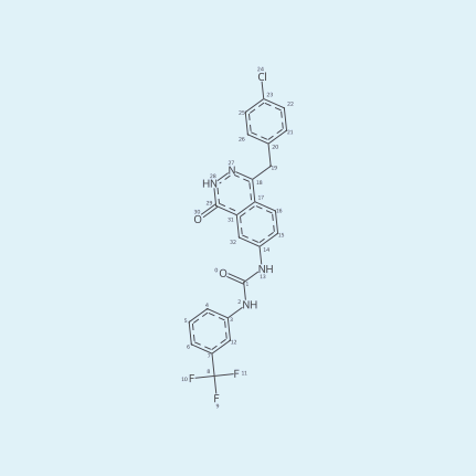 O=C(Nc1cccc(C(F)(F)F)c1)Nc1ccc2c(Cc3ccc(Cl)cc3)n[nH]c(=O)c2c1